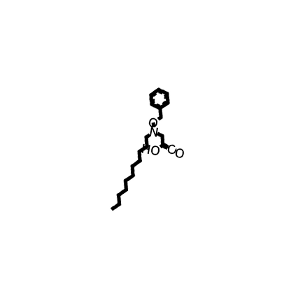 CCCCCCCCCCCN(CC(O)=C=O)OCc1ccccc1